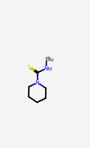 CC(C)(C)NC(=S)N1CCCCC1